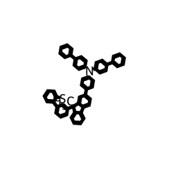 CC1(c2cccc3c2sc2ccccc23)c2ccccc2-c2ccc(-c3ccc(N(c4ccc(-c5ccccc5)cc4)c4ccc(-c5ccccc5)cc4)cc3)cc21